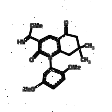 COC(=N)c1cc2c(n(-c3cc(OC)ccc3OC)c1=O)CC(C)(C)CC2=O